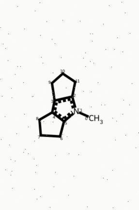 Cn1c2c(c3c1CCC3)CCC2